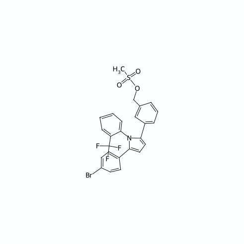 CS(=O)(=O)OCc1cccc(-c2ccc(-c3ccc(Br)cc3)n2-c2ccccc2C(F)(F)F)c1